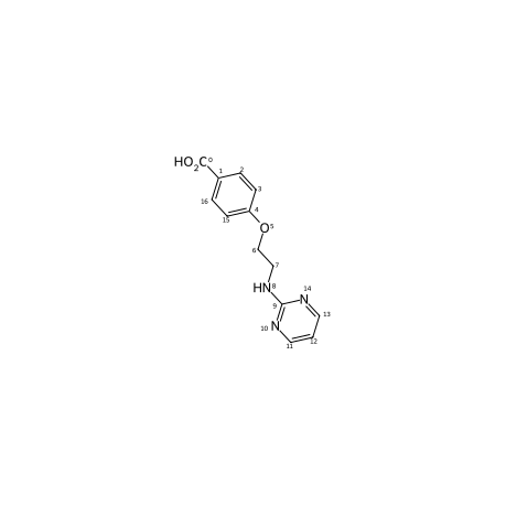 O=C(O)c1ccc(OCCNc2ncccn2)cc1